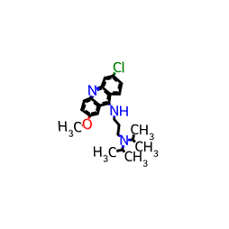 COc1ccc2nc3cc(Cl)ccc3c(NCCCN(C(C)C)C(C)C)c2c1